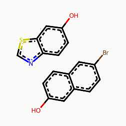 Oc1ccc2cc(Br)ccc2c1.Oc1ccc2ncsc2c1